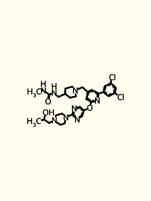 CNC(=O)NCC1CCN(Cc2cc(Oc3cnc(N4CCN(CC(C)O)CC4)nc3)nc(-c3cc(Cl)cc(Cl)c3)c2)CC1